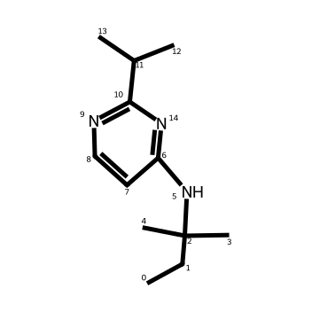 CCC(C)(C)Nc1ccnc(C(C)C)n1